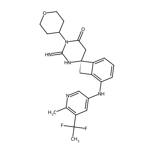 Cc1ncc(Nc2cccc3c2C[C@]32CC(=O)N(C3CCOCC3)C(=N)N2)cc1C(C)(F)F